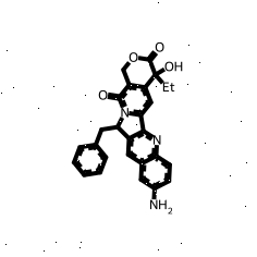 CCC1(O)C(=O)OCc2c1cc1n(c2=O)C(Cc2ccccc2)c2cc3cc(N)ccc3nc2-1